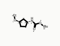 CCO[C@@H]1CC[C@@H](NC(=O)OC(C)(C)C)C1